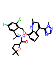 Cc1cc(-c2ncnn2C)c2cccc(OCc3c(Cl)cc(F)cc3[C@H](C)NC(=O)C3CCC(C)(C)O3)c2n1